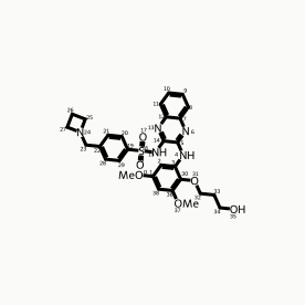 COc1cc(Nc2nc3ccccc3nc2NS(=O)(=O)c2ccc(CN3CCC3)cc2)c(OCCCO)c(OC)c1